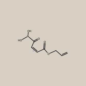 C=CCOC(=O)/C=C\C(=O)N(O)O